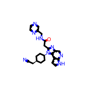 N#CC[C@H]1CC[C@H](n2c(CC(=O)NCc3cnccn3)nc3cnc4[nH]ccc4c32)CC1